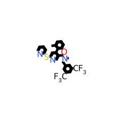 Cc1ccccc1-c1cc(Sc2ccccn2)ncc1C(=O)N(C)Cc1cc(C(F)(F)F)cc(C(F)(F)F)c1